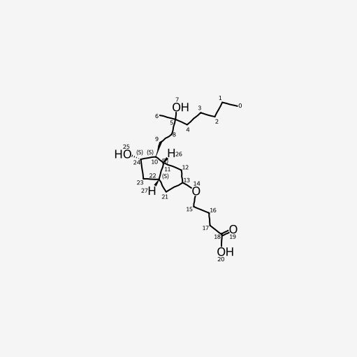 CCCCCC(C)(O)CC[C@H]1[C@@H]2CC(OCCCC(=O)O)C[C@@H]2C[C@@H]1O